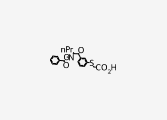 CCC/C(=N\OC(=O)c1ccccc1)C(=O)c1cccc(SCC(=O)O)c1